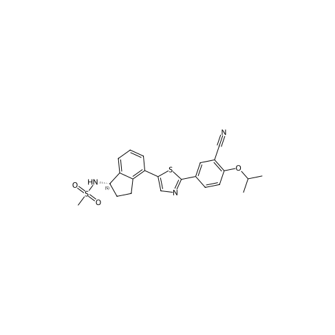 CC(C)Oc1ccc(-c2ncc(-c3cccc4c3CC[C@@H]4NS(C)(=O)=O)s2)cc1C#N